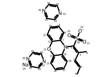 CC=CC(C)=C(N1c2ccccc2Oc2ccccc21)S(=O)(=O)[O-].[Na+].c1cnccn1.c1cnccn1